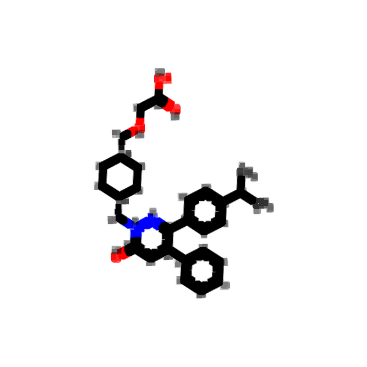 CC(C)c1ccc(-c2nn(C[C@H]3CC[C@@H](COCC(=O)O)CC3)c(=O)cc2-c2ccccc2)cc1